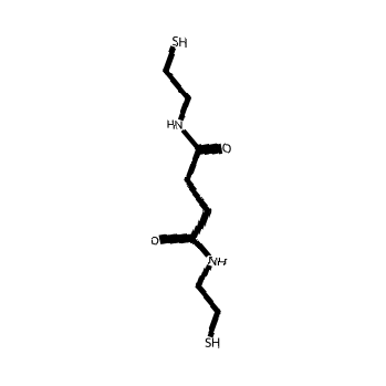 O=C(CCC(=O)NCCS)NCCS